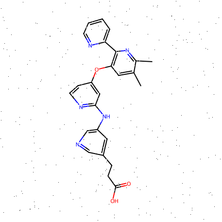 Cc1cc(Oc2ccnc(Nc3cncc(CCC(=O)O)c3)c2)c(-c2ccccn2)nc1C